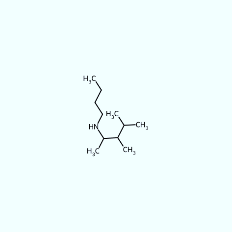 CCCCNC(C)C(C)C(C)C